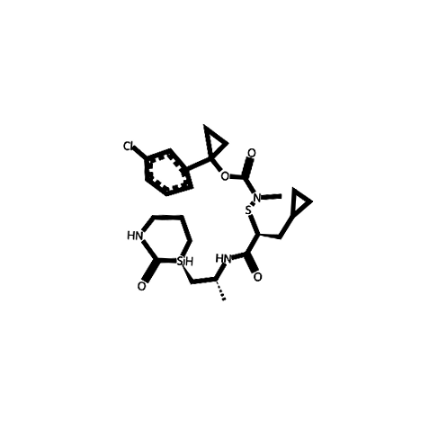 C[C@H](C[Si@@H]1CCCNC1=O)NC(=O)[C@H](CC1CC1)SN(C)C(=O)OC1(c2cccc(Cl)c2)CC1